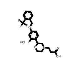 Cl.O=C(O)CCN1CCOC(c2ccc(OCc3ccccc3C(F)(F)F)cc2F)C1